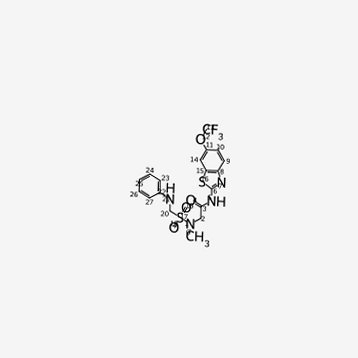 CN(CC(=O)Nc1nc2ccc(OC(F)(F)F)cc2s1)S(=O)(=O)CNc1ccccc1